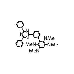 CNc1cc(NC)c(NC)c(-c2cccc(-c3nc(-c4ccccc4)nc(-c4ccccc4)n3)c2)c1NC